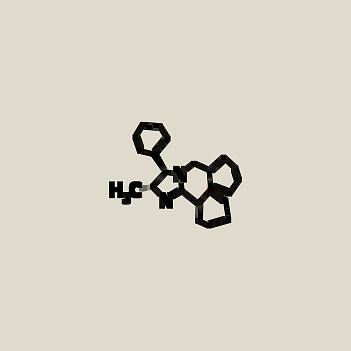 C[C@H]1N=C(c2ccccc2)N(Cc2ccccc2)[C@@H]1c1ccccc1